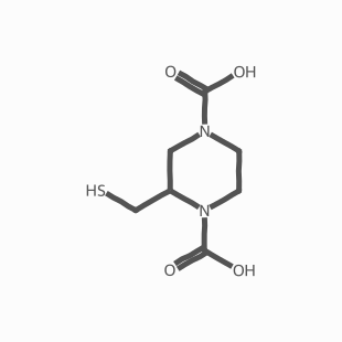 O=C(O)N1CCN(C(=O)O)C(CS)C1